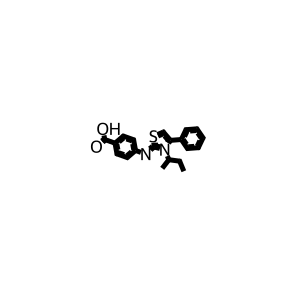 CCC(C)n1c(-c2ccccc2)csc1=Nc1ccc(C(=O)O)cc1